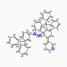 c1ccc(C2(c3ccc(-c4cccnc4)cc3)c3ccccc3-c3ccc4c(cnn4-c4ccc5c6ccccc6c6ccccc6c5c4)c32)cc1